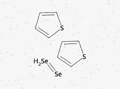 [Se]=[SeH2].c1ccsc1.c1ccsc1